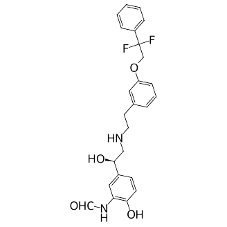 O=CNc1cc([C@@H](O)CNCCc2cccc(OCC(F)(F)c3ccccc3)c2)ccc1O